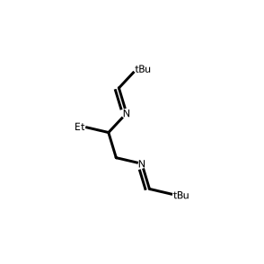 CCC(C/N=C/C(C)(C)C)/N=C/C(C)(C)C